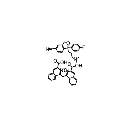 CN(C)CCCC1(c2ccc(F)cc2)OCc2cc(C#N)ccc21.O=C(O)c1cc2ccccc2c(Cc2c(O)c(C(=O)O)cc3ccccc23)c1O